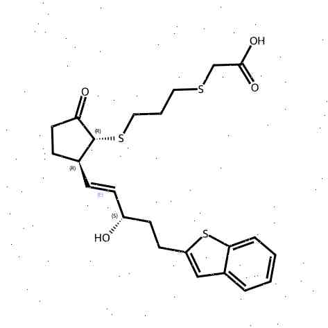 O=C(O)CSCCCS[C@H]1C(=O)CC[C@@H]1/C=C/[C@@H](O)CCc1cc2ccccc2s1